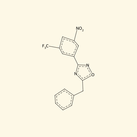 O=[N+]([O-])c1cc(-c2noc(Cc3ccccc3)n2)cc(C(F)(F)F)c1